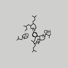 CC(C)CCCN1CC2(CCN(C(O)C(C)C)CC2c2cc(N3CCC(CCC(C)C)C(CC(C)CC[C@H]4CN(CC(C)C)CCO4)C3)ccc2CC(C)C)C1